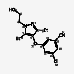 CCc1nn(CCO)c(CC)c1Oc1cc(Cl)cc(C#N)c1